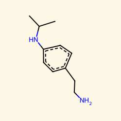 CC(C)Nc1ccc(CCN)cc1